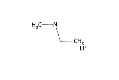 CC[N-]C.[Li+]